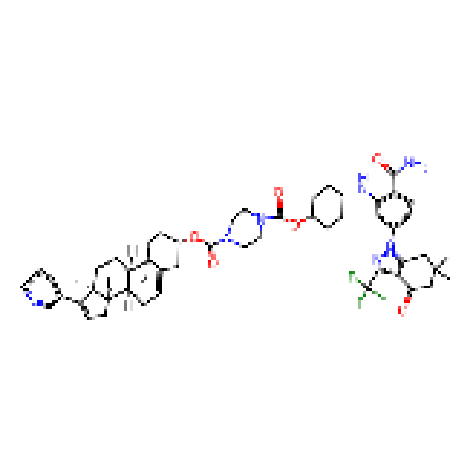 CC1(C)CC(=O)c2c(C(F)(F)F)nn(-c3ccc(C(N)=O)c(N[C@H]4CC[C@H](OC(=O)N5CCN(C(=O)O[C@H]6CC[C@@]7(C)C(=CC[C@@H]8[C@@H]7CC[C@]7(C)C(c9cccnc9)=CC[C@@H]87)C6)CC5)CC4)c3)c2C1